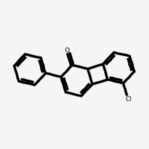 O=C1C(c2ccccc2)=CC=C2c3c(Cl)cccc3C12